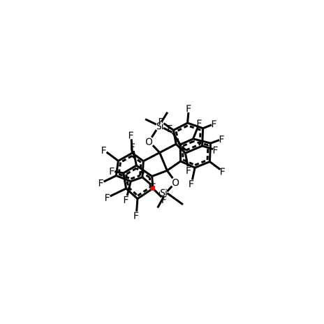 C[Si](C)(C)OC(c1c(F)c(F)c(F)c(F)c1F)(c1c(F)c(F)c(F)c(F)c1F)C(O[Si](C)(C)C)(c1c(F)c(F)c(F)c(F)c1F)c1c(F)c(F)c(F)c(F)c1F